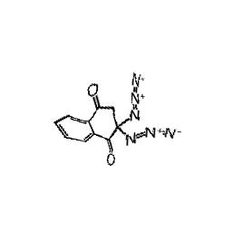 [N-]=[N+]=NC1(N=[N+]=[N-])CC(=O)c2ccccc2C1=O